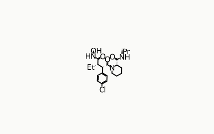 CC[C@H](C(=O)NO)[C@H](C(=O)N1CCCC[C@H]1C(=O)NC(C)C)c1ccc(Cl)cc1